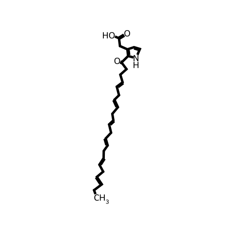 CCC=CCC=CCC=CCC=CCC=CCC=CCCC(=O)c1[nH]ccc1CC(=O)O